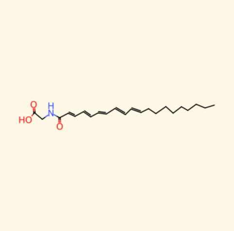 CCCCCCCCCC=CC=CC=CC=CC=CC(=O)NCC(=O)O